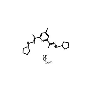 CC(=NNN1CCCC1)c1cc(C)cc(C(C)=NNN2CCCC2)n1.[Cl-].[Cl-].[Co+2]